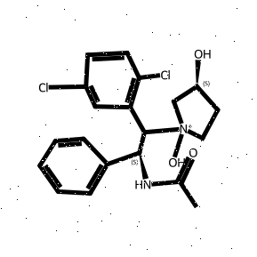 CC(=O)N[C@@H](c1ccccc1)C(c1cc(Cl)ccc1Cl)[N+]1(O)CC[C@H](O)C1